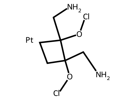 NCC1(OCl)CCC1(CN)OCl.[Pt]